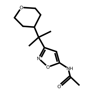 CC(=O)Nc1cc(C(C)(C)C2CCOCC2)no1